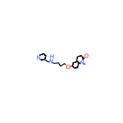 Cn1c(=O)ccc2cc(OCCCCNCc3cccnc3)ccc21